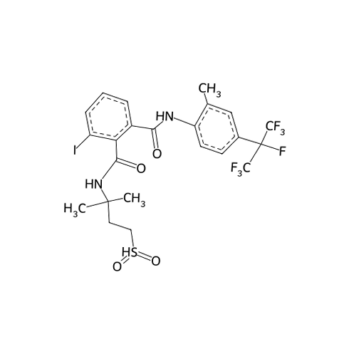 Cc1cc(C(F)(C(F)(F)F)C(F)(F)F)ccc1NC(=O)c1cccc(I)c1C(=O)NC(C)(C)CC[SH](=O)=O